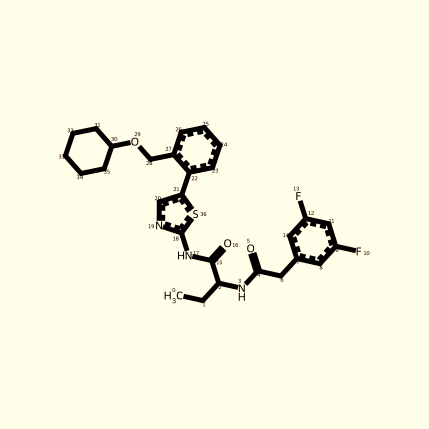 CCC(NC(=O)Cc1cc(F)cc(F)c1)C(=O)Nc1ncc(-c2ccccc2COC2CCCCC2)s1